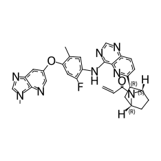 C=CC(=O)N1[C@@H]2CC[C@H]1[C@H](c1ccc3ncnc(Nc4cc(C)c(Oc5cnc6c(c5)ncn6C)cc4F)c3n1)C2